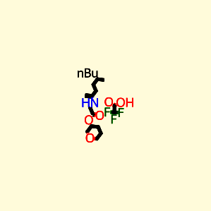 C=C(CC[C@H](C)CCCC)NCC(=O)O[C@@H]1CCCOC1.O=C(O)C(F)(F)F